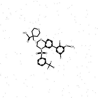 COc1cc(F)cc(-c2ccc3c(c2)N(S(=O)(=O)c2cccc(C(F)(F)F)c2)C[C@H](CC2(C(=O)O)CCOCC2)O3)c1F